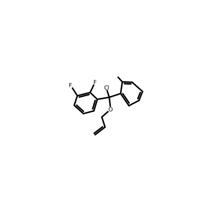 C=CCOC(Cl)(c1ccccc1C)c1cccc(F)c1F